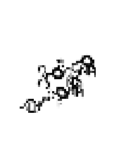 CCN(CC)C(=O)c1ccc(Oc2nc(Nc3ccc(OCCCN4CCN(C)CC4)c(F)c3)ncc2C(=O)Nc2c(C)cccc2C)c(OC)c1